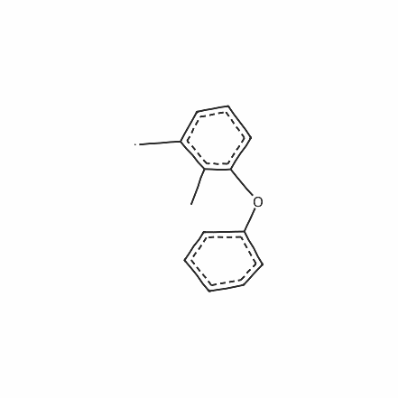 [CH2]c1cccc(Oc2ccccc2)c1C